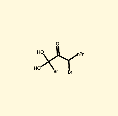 CCCC(Br)C(=O)C(O)(O)Br